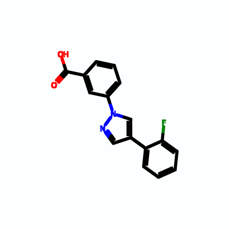 O=C(O)c1cccc(-n2cc(-c3ccccc3F)cn2)c1